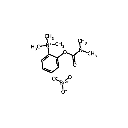 CN(C)C(=O)Oc1ccccc1[N+](C)(C)C.[O-][Br+2]([O-])[O-]